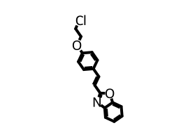 ClCCOc1ccc(/C=C/c2nc3ccccc3o2)cc1